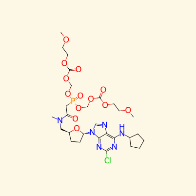 COCCOC(=O)OCOP(=O)(CC(=O)N(C)C[C@@H]1CC[C@H](n2cnc3c(NC4CCCC4)nc(Cl)nc32)O1)OCOC(=O)OCCOC